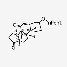 CCCCCOC1CC[C@@]2(C)C(=CC(=O)[C@@H]3[C@H]2CC[C@]2(C)C(=O)CC[C@@H]32)C1